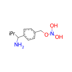 CC(C)C(N)c1ccc(CON(O)O)cc1